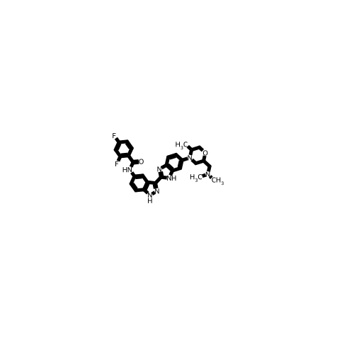 CC1COC(CN(C)C)CN1c1ccc2nc(-c3n[nH]c4ccc(NC(=O)c5ccc(F)cc5F)cc34)[nH]c2c1